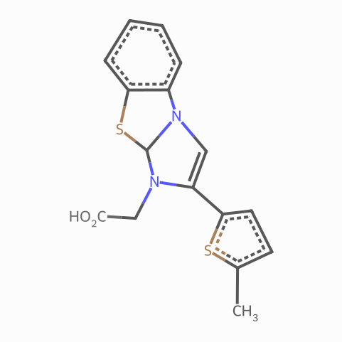 Cc1ccc(C2=CN3c4ccccc4SC3N2CC(=O)O)s1